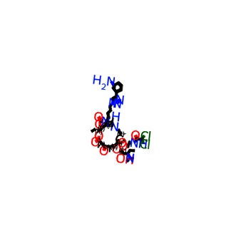 CCC(C(O)[C@@H](OCCNC(=O)C(Cl)Cl)O[C@@H]1[C@@H](C)C(=O)[C@@H](C)C(=O)O[C@H](CC)[C@@]2(C)OC(=O)N(CCCCn3cc(-c4cccc(N)c4)nn3)[C@@H]2[C@@H](C)NC[C@H](C)C[C@@]1(C)OC)N(C)C